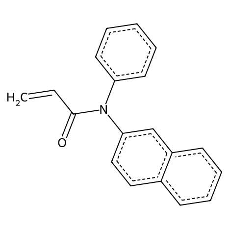 C=CC(=O)N(c1ccccc1)c1ccc2ccccc2c1